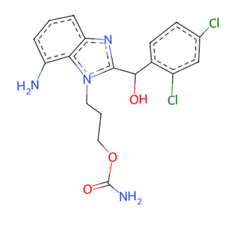 NC(=O)OCCCn1c(C(O)c2ccc(Cl)cc2Cl)nc2cccc(N)c21